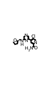 NC(=O)c1cc(-c2cncc(NC[C@H]3CCCO3)n2)c(Cl)cn1